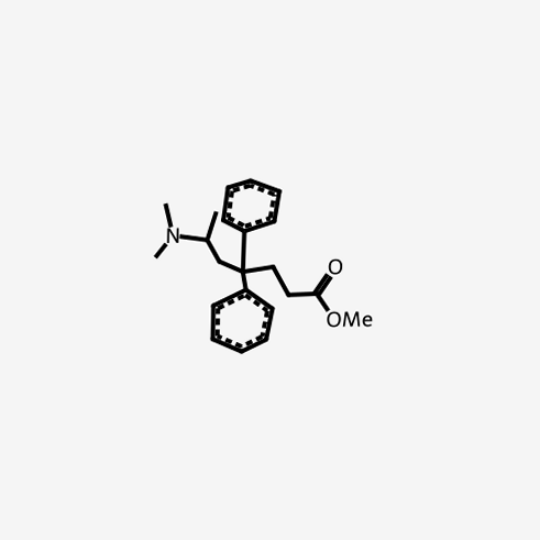 COC(=O)CCC(CC(C)N(C)C)(c1ccccc1)c1ccccc1